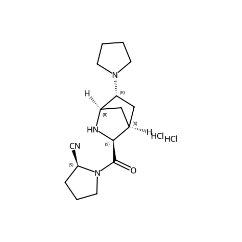 Cl.Cl.N#C[C@@H]1CCCN1C(=O)[C@H]1N[C@@H]2C[C@H]1C[C@H]2N1CCCC1